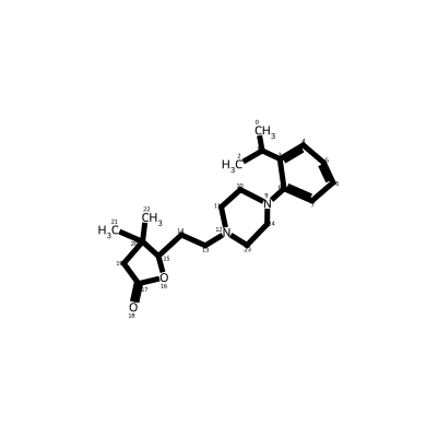 CC(C)c1ccccc1N1CCN(CCC2OC(=O)CC2(C)C)CC1